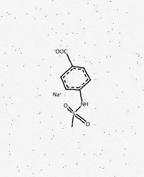 CS(=O)(=O)Nc1ccc(C(=O)[O-])cc1.[Na+]